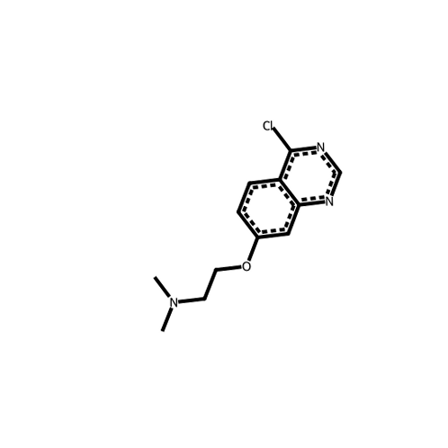 CN(C)CCOc1ccc2c(Cl)ncnc2c1